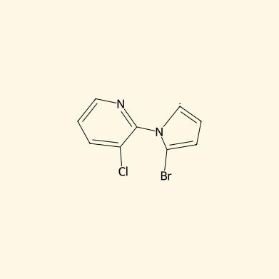 Clc1cccnc1-n1[c]ccc1Br